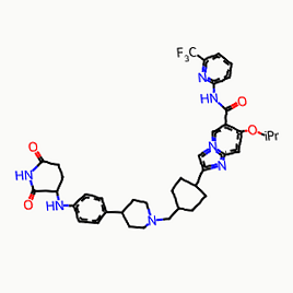 CC(C)Oc1cc2nc(C3CCC(CN4CCC(c5ccc(NC6CCC(=O)NC6=O)cc5)CC4)CC3)cn2cc1C(=O)Nc1cccc(C(F)(F)F)n1